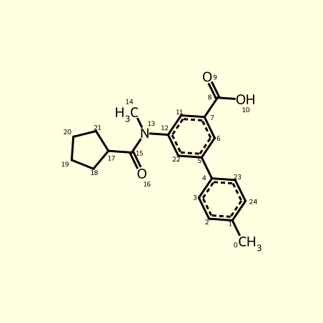 Cc1ccc(-c2cc(C(=O)O)cc(N(C)C(=O)C3CCCC3)c2)cc1